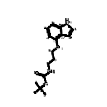 CC(C)(C)OC(=O)NCCCOc1cccc2[nH]ccc12